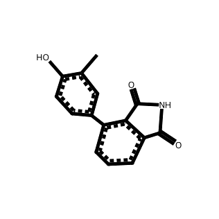 Cc1cc(-c2cccc3c2C(=O)NC3=O)ccc1O